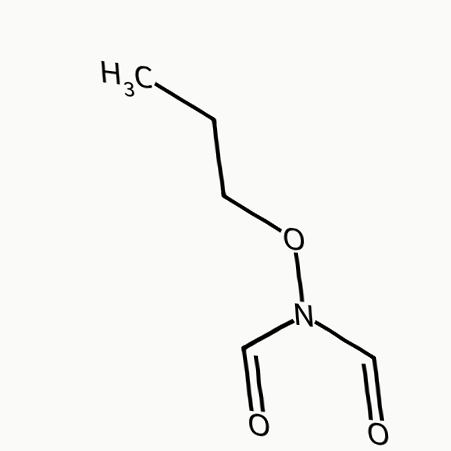 CCCON(C=O)C=O